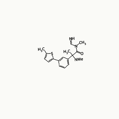 CNC(C)(C(=O)N(C)C=N)c1cccc(-c2ccc(C)s2)c1